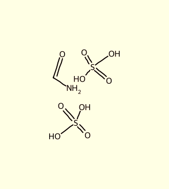 NC=O.O=S(=O)(O)O.O=S(=O)(O)O